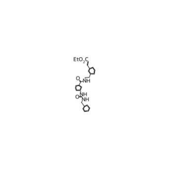 CCOC(=O)C=Cc1cccc(CCNC(=O)c2cccc(NC(=O)NCc3ccccc3)c2)c1